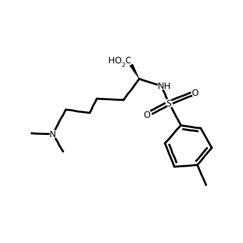 Cc1ccc(S(=O)(=O)N[C@@H](CCCCN(C)C)C(=O)O)cc1